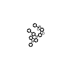 c1ccc(-c2ccc(N(c3ccc4oc5ccc6nc(-c7ccccc7)oc6c5c4c3)c3cccc4c3c3ccccc3n4-c3ccccc3)cc2)cc1